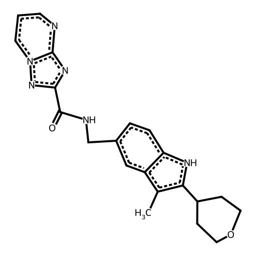 Cc1c(C2CCOCC2)[nH]c2ccc(CNC(=O)c3nc4ncccn4n3)cc12